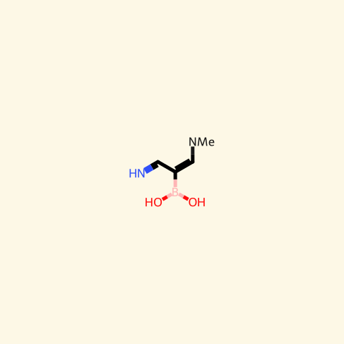 CN/C=C(\C=N)B(O)O